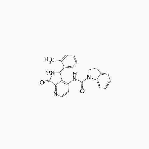 Cc1ccccc1C1NC(=O)c2nccc(NC(=O)N3CCc4ccccc43)c21